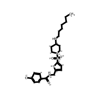 CCCCCCCNC1CCN(S(=O)(=O)c2ccc(CNC(=O)c3ccc(Cl)cc3)s2)CC1